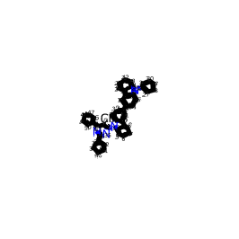 CC1C(n2c3ccccc3c3cc(-c4ccc5c(c4)C4C=CC=CC4N5c4ccccc4)ccc32)=NC(c2ccccc2)=NC1c1ccccc1